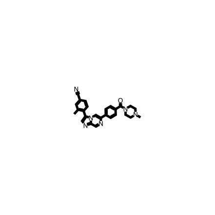 Cc1cc(C#N)ccc1-c1cnc2cnc(-c3ccc(C(=O)N4CCN(C)CC4)cc3)cn12